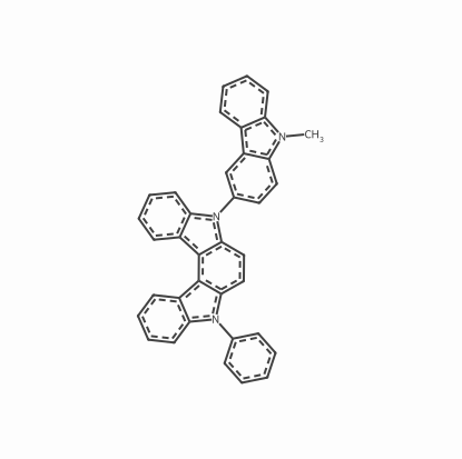 Cn1c2ccccc2c2cc(-n3c4ccccc4c4c5c6ccccc6n(-c6ccccc6)c5ccc43)ccc21